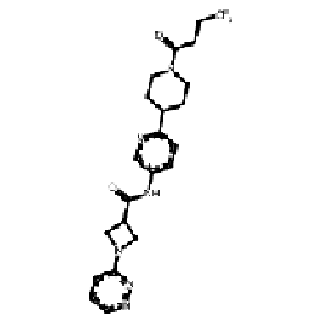 O=C(Nc1ccc(C2CCN(C(=O)CCC(F)(F)F)CC2)nc1)C1CN(c2cccnn2)C1